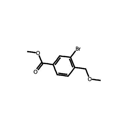 COCc1ccc(C(=O)OC)cc1Br